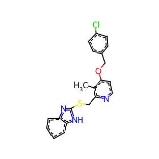 Cc1c(OCc2ccc(Cl)cc2)ccnc1CSc1nc2ccccc2[nH]1